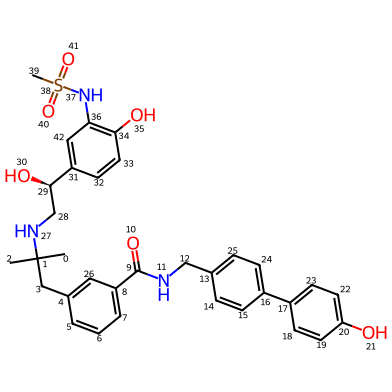 CC(C)(Cc1cccc(C(=O)NCc2ccc(-c3ccc(O)cc3)cc2)c1)NC[C@@H](O)c1ccc(O)c(NS(C)(=O)=O)c1